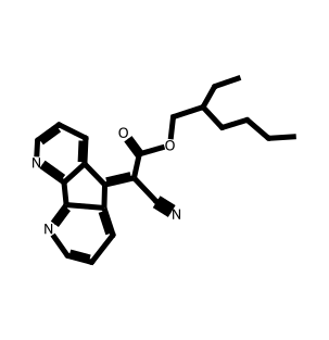 CCCCC(CC)COC(=O)C(C#N)=C1c2cccnc2-c2ncccc21